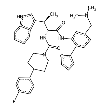 C[C@H](c1c[nH]c2ccccc12)[C@@H](NC(=O)N1CCC(c2ccc(F)cc2)CC1)C(=O)Nc1cc(CN(C)C)ccc1-c1ccco1